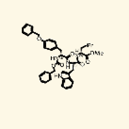 COC(=O)[C@H](CC(C)C)NC(=O)[C@@H](Cc1c[nH]c2ccccc12)NC(=O)[C@H](Cc1ccc(OCc2ccccc2)cc1)NC(=O)OCc1ccccc1